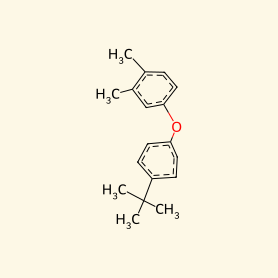 Cc1ccc(Oc2ccc(C(C)(C)C)cc2)cc1C